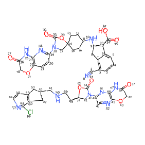 N#Cc1cccc2c1CC(NC1CCC3(CC1)CN(c1ccc4c(n1)NC(=O)CO4)C(=O)O3)C2C(=O)O.O=C1COc2ncc(N3CC(CCNCC4Cc5ccnc(Cl)c5C4)OC3=O)nc2N1